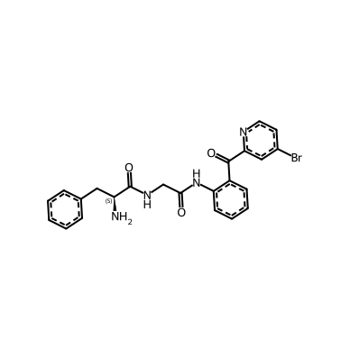 N[C@@H](Cc1ccccc1)C(=O)NCC(=O)Nc1ccccc1C(=O)c1cc(Br)ccn1